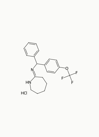 Cl.FC(F)(F)Oc1ccc(C(N=C2CCCCCN2)c2ccccc2)cc1